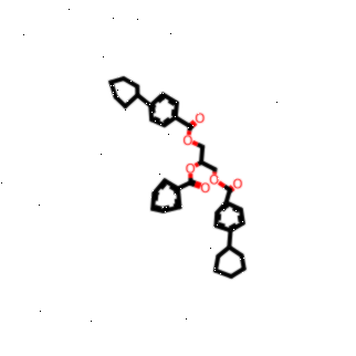 O=C(OCC(COC(=O)c1ccc(C2CCCCC2)cc1)OC(=O)c1ccccc1)c1ccc(C2CCCCC2)cc1